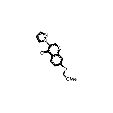 COCOc1ccc2c(=O)c(-n3cccn3)coc2c1